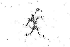 CCCCCCCCC(=O)OCC(COC(=O)CCCCCCC)OC(=O)CCN(CCC(=O)OC(COC(=O)CCCCCCCC)COC(=O)CCCCCCCC)C(=O)SCCCN(C)C